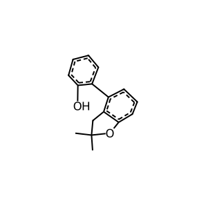 CC1(C)Cc2c(cccc2-c2ccccc2O)O1